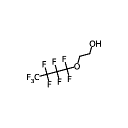 OCCOC(F)(F)C(F)(F)C(F)(F)C(F)(F)F